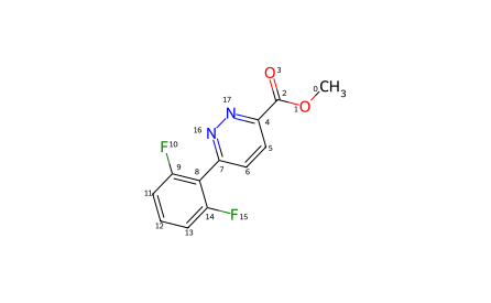 COC(=O)c1ccc(-c2c(F)cccc2F)nn1